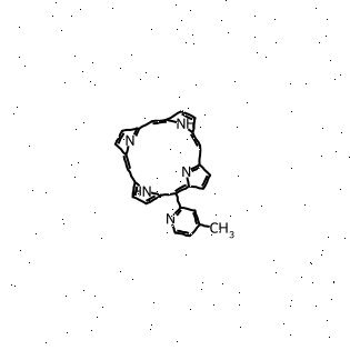 Cc1ccnc(-c2c3nc(cc4ccc(cc5nc(cc6ccc2[nH]6)C=C5)[nH]4)C=C3)c1